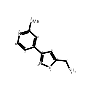 COc1cc(-c2cc(CN)sn2)ccn1